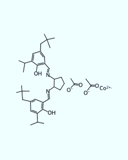 CC(=O)[O-].CC(=O)[O-].CC(C)c1cc(CC(C)(C)C)cc(C=NC2CCCC2N=Cc2cc(CC(C)(C)C)cc(C(C)C)c2O)c1O.[Co+2]